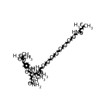 CC(C)CCC(=O)NCCOCCOCCOCCOCCOCCOCCOCCOCCC(=O)N[C@H](C(=O)N[C@@H](CCCNC(N)=O)C(=O)Nc1ccc(COC(=O)C(C)(C)C)cc1)C(C)C